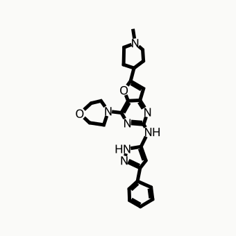 CN1CCC(c2cc3nc(Nc4cc(-c5ccccc5)n[nH]4)nc(N4CCOCC4)c3o2)CC1